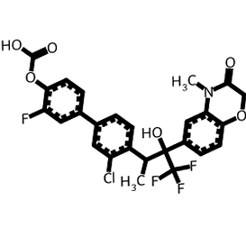 CC(c1ccc(-c2ccc(OC(=O)O)c(F)c2)cc1Cl)C(O)(c1ccc2c(c1)N(C)C(=O)CO2)C(F)(F)F